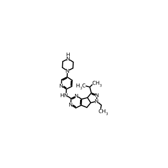 CCN1N=C(C(C)C)C2c3nc(Nc4ccc(N5CCNCC5)cn4)ncc3CC21